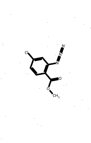 COC(=O)c1ccc(Cl)cc1N=[N+]=[N-]